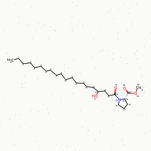 CCCCCCCCCCCCCCCCC(O)CCC(=O)N1CCC[C@H]1C(=O)OC